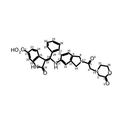 O=C1CN(CC(=O)N2Cc3ccc(N/C(=C4\C(=O)Nc5cc(C(=O)O)ccc54)c4ccccc4)cc3C2)CCO1